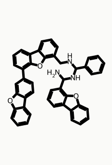 NC(NC(NCc1cccc2c1oc1c(-c3ccc4c(c3)oc3ccccc34)cccc12)c1ccccc1)c1cccc2c1oc1ccccc12